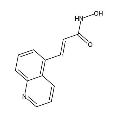 O=C(/C=C/c1cccc2ncccc12)NO